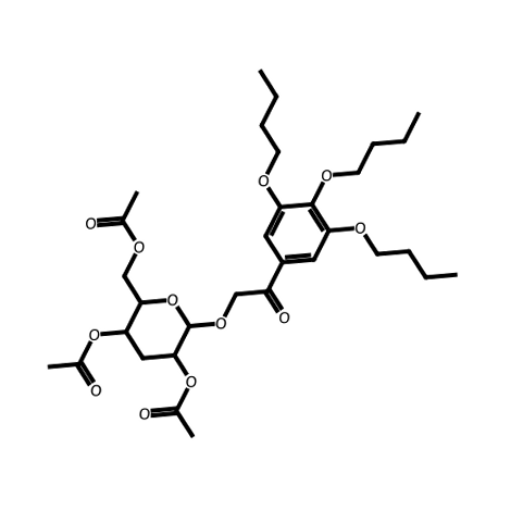 CCCCOc1cc(C(=O)COC2OC(COC(C)=O)C(OC(C)=O)CC2OC(C)=O)cc(OCCCC)c1OCCCC